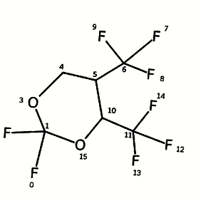 FC1(F)OCC(C(F)(F)F)C(C(F)(F)F)O1